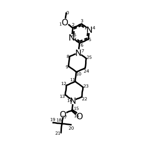 COc1cncc(N2CCC(C3CCN(C(=O)OC(C)(C)C)CC3)CC2)n1